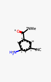 [C-]#[N+]c1cc(N)cc(C(=O)NC)c1